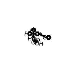 N#CC(c1ccc(F)cc1)(c1ccccn1)C1CCN(CCCOc2ccccc2)CC1.O=C(O)C(=O)O